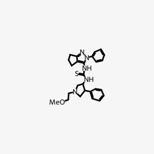 COCCN1CC(NC(=S)Nc2c3c(nn2-c2ccccc2)CCC3)C(c2ccccc2)C1